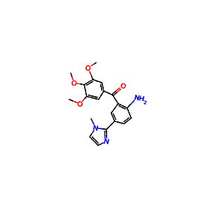 COc1cc(C(=O)c2cc(-c3nccn3C)ccc2N)cc(OC)c1OC